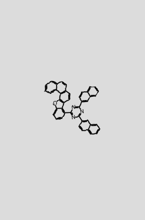 c1ccc2cc(-c3nc(-c4ccc5ccccc5c4)nc(-c4cccc5oc6c(ccc7ccc8ccccc8c76)c45)n3)ccc2c1